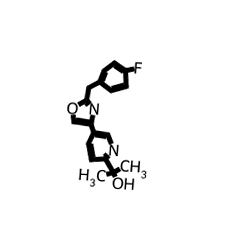 CC(C)(O)c1ccc(-c2coc(Cc3ccc(F)cc3)n2)cn1